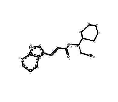 NC[C@@H](NC(=O)/C=C/c1c[nH]c2ncccc12)C1CCCCC1